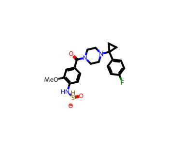 COc1cc(C(=O)N2CCN(C3(c4ccc(F)cc4)CC3)CC2)ccc1N[SH](=O)=O